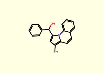 N#Cc1cc(C(O)c2ccccc2)n2c1ccc1ccccc12